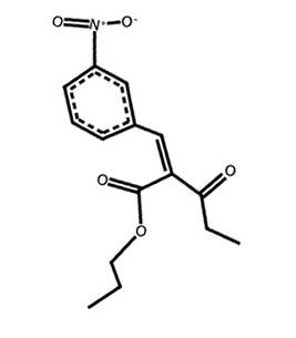 CCCOC(=O)C(=Cc1cccc([N+](=O)[O-])c1)C(=O)CC